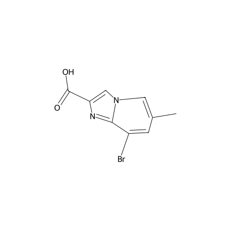 Cc1cc(Br)c2nc(C(=O)O)cn2c1